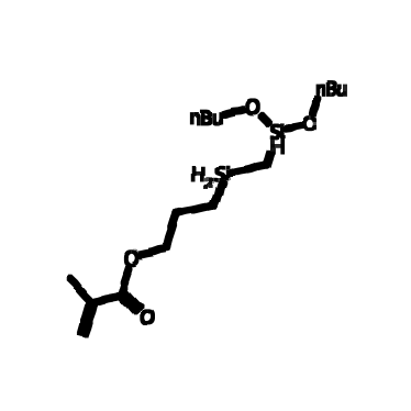 C=C(C)C(=O)OCCC[SiH2]C[SiH](OCCCC)OCCCC